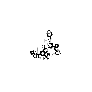 Cn1cnnc1CC1(c2cc(NCC3CCOCC3)nc(N3Cc4c(cc(CNC5(C)CCC5)cc4C(F)(F)F)C3=O)c2)CCC1